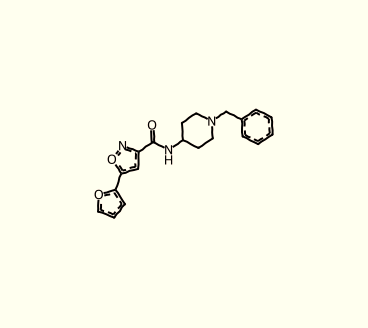 O=C(NC1CCN(Cc2ccccc2)CC1)c1cc(-c2ccco2)on1